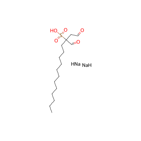 CCCCCCCCCCCCC(C=O)(CC=O)S(=O)(=O)O.[NaH].[NaH]